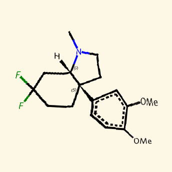 COc1ccc([C@]23CCN(C)[C@H]2CC(F)(F)CC3)cc1OC